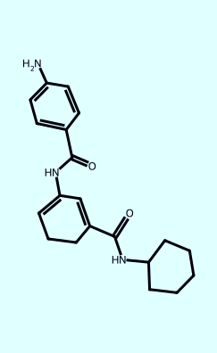 Nc1ccc(C(=O)NC2=CCCC(C(=O)NC3CCCCC3)=C2)cc1